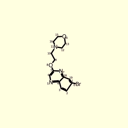 Brc1ccc2ncc(OCCN3CCOCC3)nc2c1